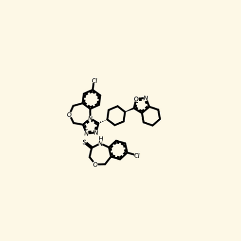 Clc1ccc2c(c1)COCc1nnc([C@H]3CC[C@H](c4onc5c4CCCC5)CC3)n1-2.S=C1COCc2cc(Cl)ccc2N1